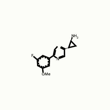 C=C(/C=N\C(=C/C)c1cc(F)cc(OC)c1)[C@H]1C[C@@H]1N